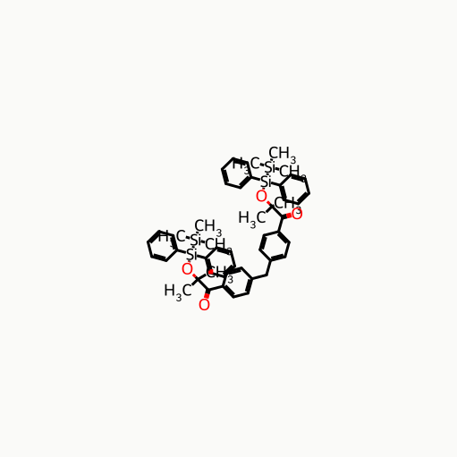 CC(C)(O[Si](c1ccccc1)(c1ccccc1)[Si](C)(C)C)C(=O)c1ccc(Cc2ccc(C(=O)C(C)(C)O[Si](c3ccccc3)(c3ccccc3)[Si](C)(C)C)cc2)cc1